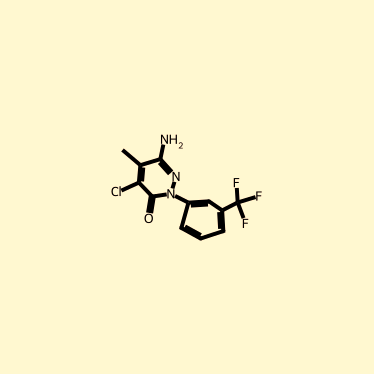 Cc1c(N)nn(-c2cccc(C(F)(F)F)c2)c(=O)c1Cl